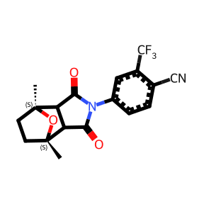 C[C@@]12CC[C@](C)(O1)C1C(=O)N(c3ccc(C#N)c(C(F)(F)F)c3)C(=O)C12